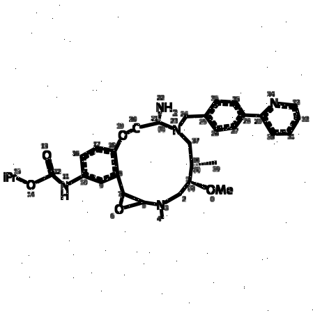 CO[C@H]1CN(C)C2OC2c2cc(NC(=O)OC(C)C)ccc2OC[C@H](N)N(Cc2ccc(-c3ccccn3)cc2)C[C@@H]1C